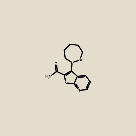 NC(=O)c1sc2ncccc2c1N1CCCCCN1